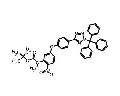 CN(C(=O)OC(C)(C)C)c1cc(Oc2ccc(-c3nnn(C(c4ccccc4)(c4ccccc4)c4ccccc4)n3)cc2)ccc1[N+](=O)[O-]